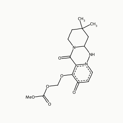 COC(=O)OCOc1c2n(ccc1=O)NC1CC(C)(C)CCN1C2=O